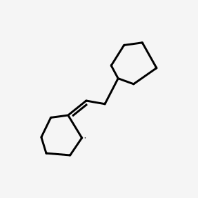 [CH]1CCCCC1=CCC1CCCCC1